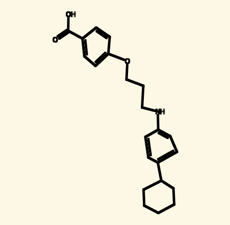 O=C(O)c1ccc(OCCCNc2ccc(C3CCCCC3)cc2)cc1